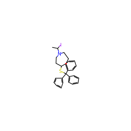 CC(I)N1CCCC(SC(c2ccccc2)(c2ccccc2)c2ccccc2)CC1